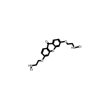 CCNCCOc1ccc2c(=O)c3ccc(OCCNCC)cc3sc2c1